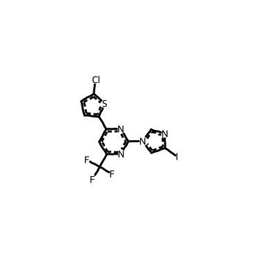 FC(F)(F)c1cc(-c2ccc(Cl)s2)nc(-n2cnc(I)c2)n1